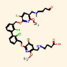 COc1nc(OCc2cccc(-c3cccc(COc4nc(OC)c(CNCCCC(=O)O)cc4Br)c3Cl)c2Cl)c(Br)cc1CNCCCC=O